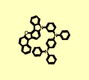 c1ccc(N(c2ccccc2)c2ccc(N(c3ccccc3)c3cccc(-n4c5ccccc5c5c6oc7ccc8ccccc8c7c6ccc54)c3)cc2)cc1